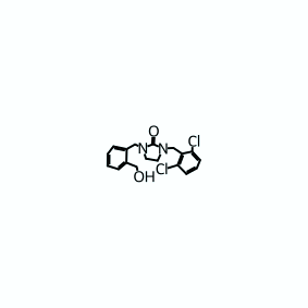 O=C1N(Cc2ccccc2CO)CCN1Cc1c(Cl)cccc1Cl